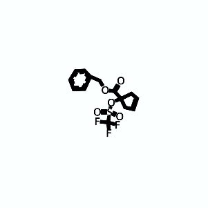 O=C(OCc1ccccc1)C1(OS(=O)(=O)C(F)(F)F)CC=CC1